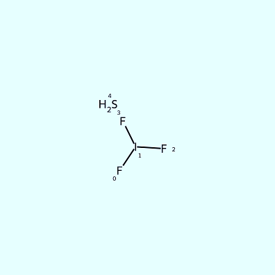 FI(F)F.S